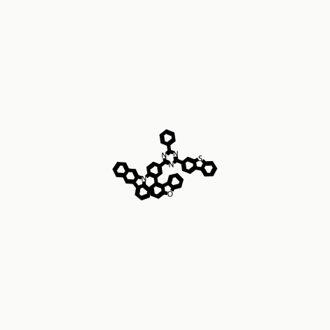 c1ccc(-c2nc(-c3ccc(-n4c5ccccc5c5cc6ccccc6cc54)c(-c4cccc5oc6ccccc6c45)c3)nc(-c3ccc4c(c3)sc3ccccc34)n2)cc1